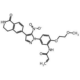 C=CC(=O)Nc1cc(-n2ncc(-c3ccc4c(c3)CCNC4=O)c2[N+](=O)[O-])ccc1OCCOC